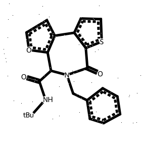 CC(C)(C)NC(=O)C1c2occc2-c2ccsc2C(=O)N1Cc1ccccc1